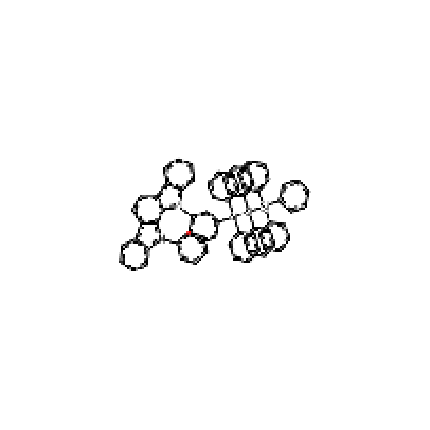 c1ccc(-n2c3ccccc3c3ccc4c5ccccc5n(-c5cccc([Si](c6ccccc6)(c6ccccc6)[Si](c6ccccc6)(c6ccccc6)[Si](c6ccccc6)(c6ccccc6)c6ccccc6)c5)c4c32)cc1